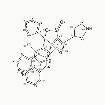 O=C1OC2(c3ccccc3Oc3ccccc32)c2c(N(Cc3ccccc3)Cc3ccccc3)ccc(C3CCNC3)c21